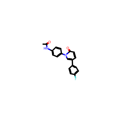 CC(=O)Nc1ccc(-n2cc(-c3ccc(F)cc3)ccc2=O)cc1